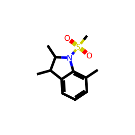 Cc1cccc2c1N(S(C)(=O)=O)C(C)C2C